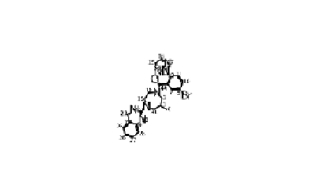 CC1CN(C(=O)c2cc(Br)ccc2-n2nccn2)CCN(c2ncc3ccccc3n2)C1